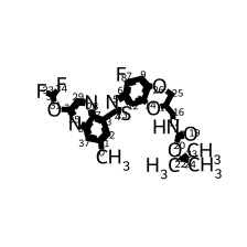 Cc1cc(-c2nc3c(F)cc4c(c3s2)OC(CNC(=O)OC(C)(C)C)CO4)c2ncc(OC(F)F)nc2c1